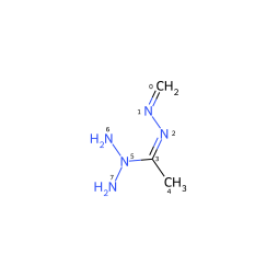 C=N/N=C(/C)N(N)N